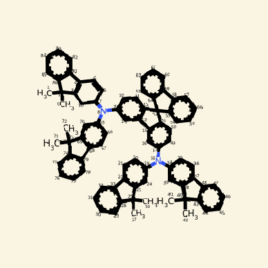 CC1(C)C2=C(C=CC(N(c3ccc4c(c3)-c3cc(N(c5ccc6c(c5)C(C)(C)c5ccccc5-6)c5ccc6c(c5)C(C)(C)c5ccccc5-6)ccc3C43c4ccccc4-c4ccccc43)c3ccc4c(c3)C(C)(C)c3ccccc3-4)C2)c2ccccc21